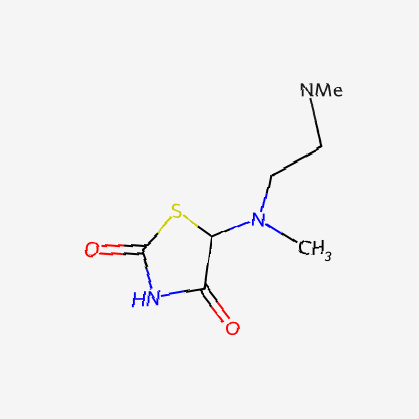 CNCCN(C)C1SC(=O)NC1=O